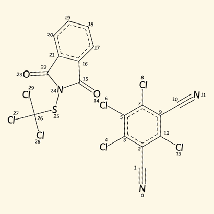 N#Cc1c(Cl)c(Cl)c(Cl)c(C#N)c1Cl.O=C1c2ccccc2C(=O)N1SC(Cl)(Cl)Cl